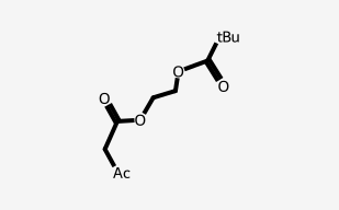 CC(=O)CC(=O)OCCOC(=O)C(C)(C)C